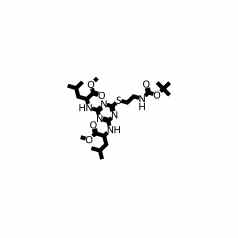 COC(=O)C(CC(C)C)Nc1nc(NC(CC(C)C)C(=O)OC)nc(SCCNC(=O)OC(C)(C)C)n1